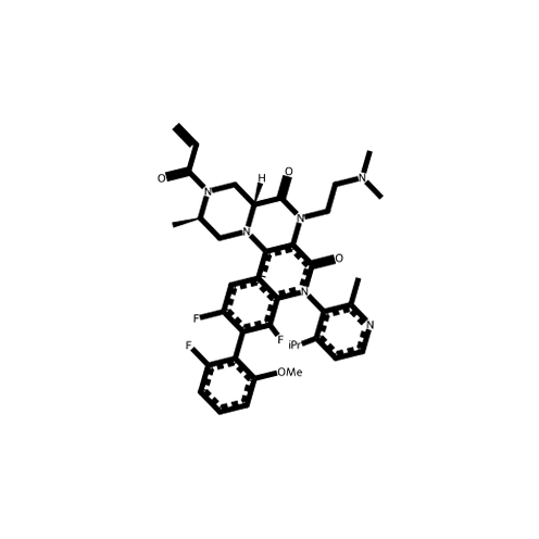 C=CC(=O)N1C[C@@H]2C(=O)N(CCN(C)C)c3c(c4cc(F)c(-c5c(F)cccc5OC)c(F)c4n(-c4c(C(C)C)ccnc4C)c3=O)N2C[C@H]1C